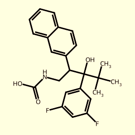 CC(C)(C)C(O)(c1cc(F)cc(F)c1)C(CNC(=O)O)c1ccc2ccccc2c1